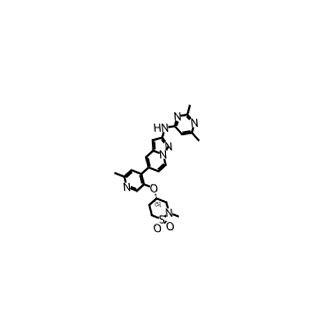 Cc1cc(-c2ccn3nc(Nc4cc(C)nc(C)n4)cc3c2)c(O[C@H]2CCS(=O)(=O)N(C)C2)cn1